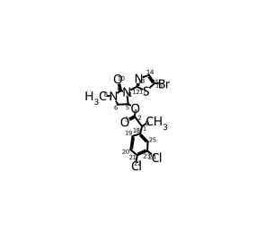 CC(C(=O)OC1CN(C)C(=O)N1c1ncc(Br)s1)c1ccc(Cl)c(Cl)c1